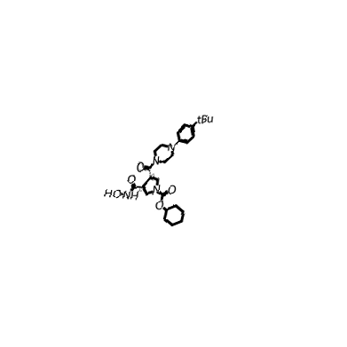 CC(C)(C)c1ccc(N2CCN(C(=O)[C@@H]3CN(C(=O)OC4CCCCC4)C[C@H]3C(=O)NO)CC2)cc1